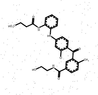 Cc1ccc(C(=O)NCCO)cc1C(=O)c1ccc(Nc2ccccc2NC(=O)CCC(=O)O)cc1Cl